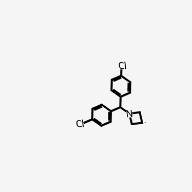 Clc1ccc(C(c2ccc(Cl)cc2)N2C[CH]C2)cc1